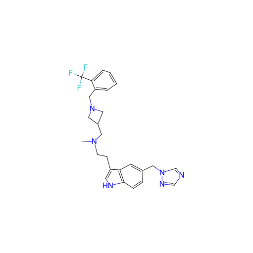 CN(CCc1c[nH]c2ccc(Cn3cncn3)cc12)CC1CN(Cc2ccccc2C(F)(F)F)C1